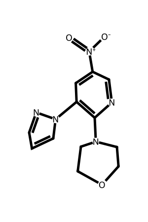 O=[N+]([O-])c1cnc(N2CCOCC2)c(-n2cccn2)c1